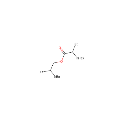 CCCCCCC(CC)C(=O)OCC(CC)CCCC